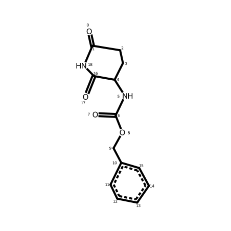 O=C1CCC(NC(=O)OCc2ccccc2)C(=O)N1